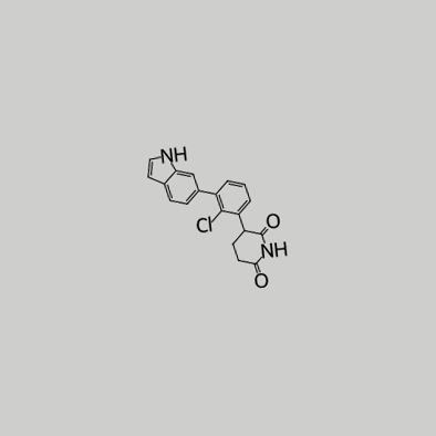 O=C1CCC(c2cccc(-c3ccc4cc[nH]c4c3)c2Cl)C(=O)N1